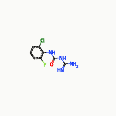 N=C(N)NC(=O)Nc1c(F)cccc1Cl